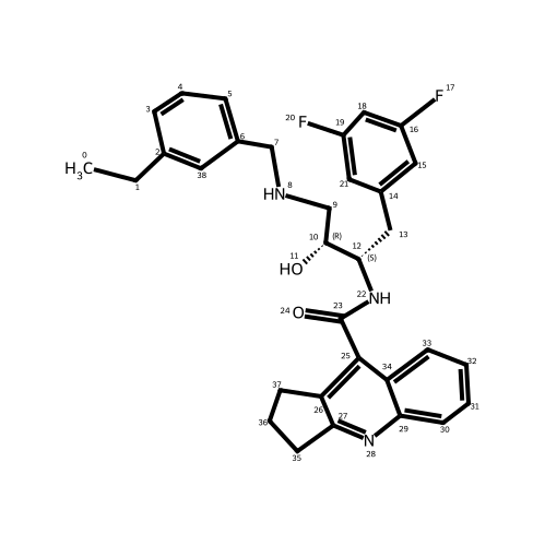 CCc1cccc(CNC[C@@H](O)[C@H](Cc2cc(F)cc(F)c2)NC(=O)c2c3c(nc4ccccc24)CCC3)c1